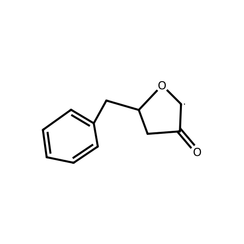 O=C1[CH]OC(Cc2ccccc2)C1